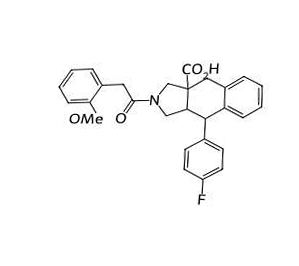 COc1ccccc1CC(=O)N1CC2C(c3ccc(F)cc3)c3ccccc3CC2(C(=O)O)C1